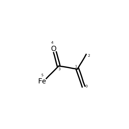 C=C(C)[C](=O)[Fe]